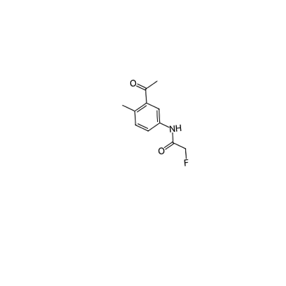 CC(=O)c1cc(NC(=O)CF)ccc1C